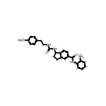 COc1ccc(CCNC(=O)NC2CCc3cc(C(=O)Nc4ccccc4N)ccc32)cc1